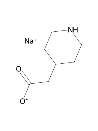 O=C([O-])CC1CCNCC1.[Na+]